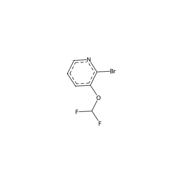 FC(F)Oc1cc[c]nc1Br